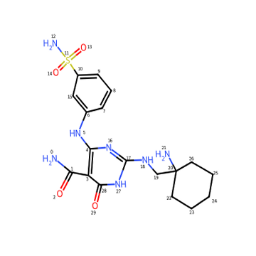 NC(=O)c1c(Nc2cccc(S(N)(=O)=O)c2)nc(NCC2(N)CCCCC2)[nH]c1=O